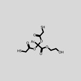 CC(=O)C(OC(=O)CS)(OC(=O)CS)C(=O)OCCO